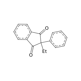 CCC1(c2ccccc2)C(=O)c2ccccc2C1=O